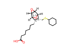 O=C(O)CCCCCC[C@H]1[C@@H](CSC2CCCCC2)[C@@H]2O[C@H]1[C@@H]1O[C@@H]12